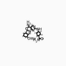 COc1cccc2c1CN(c1nc(Nc3ccc(C(N)=O)cc3)ncc1C(N)=O)C2